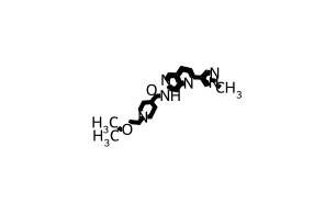 CC(C)OCCN1CCC(C(=O)Nc2cc3nc(-c4cnn(C)c4)ccc3cn2)CC1